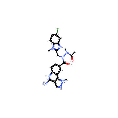 CC(=O)N(C)N(Cc1nc2cc(Cl)ccc2n1C)C(=O)c1ccc2nc(N)c3cnn(C)c3c2c1